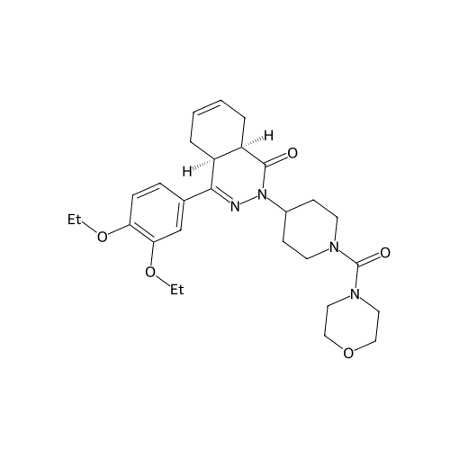 CCOc1ccc(C2=NN(C3CCN(C(=O)N4CCOCC4)CC3)C(=O)[C@@H]3CC=CC[C@H]23)cc1OCC